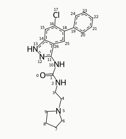 O=C(NCCN1CCCC1)Nc1n[nH]c2cc(Cl)c(-c3ccccc3)cc12